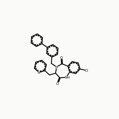 O=C1Nc2cc(Cl)ccc2C(=O)N(Cc2cccc(-c3ccccc3)c2)C1Cc1ccccn1